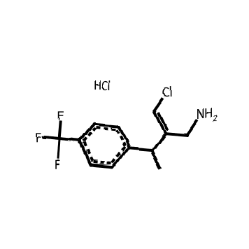 CC(C(=CCl)CN)c1ccc(C(F)(F)F)cc1.Cl